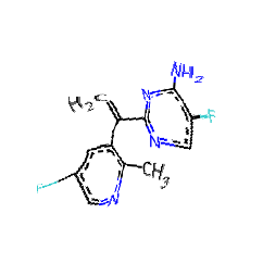 C=C(c1ncc(F)c(N)n1)c1cc(F)cnc1C